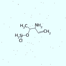 C=CC(N)C(C)O[SiH2]Cl